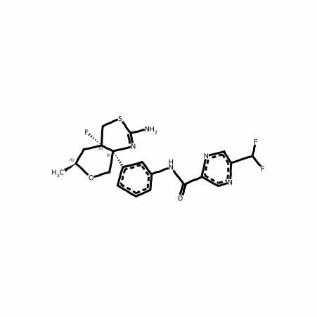 C[C@H]1C[C@@]2(F)CSC(N)=N[C@@]2(c2cccc(NC(=O)c3cnc(C(F)F)cn3)c2)CO1